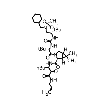 C=CCNC(=O)C(=O)C(CCCC)NC(=O)[C@@H]1[C@@H]2[C@H](CN1C(=O)[C@@H](NC(=O)N[C@H](CN(CC1CCCCC1)S(C)(=O)=O)C(C)(C)C)C(C)(C)C)C2(C)C